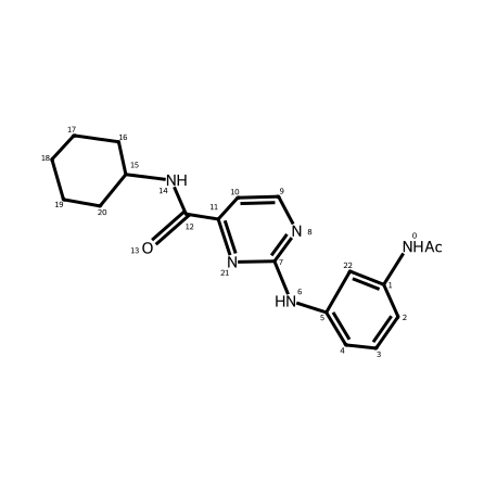 CC(=O)Nc1cccc(Nc2nccc(C(=O)NC3CCCCC3)n2)c1